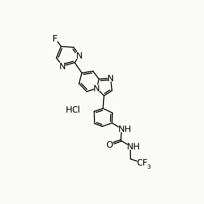 Cl.O=C(NCC(F)(F)F)Nc1cccc(-c2cnc3cc(-c4ncc(F)cn4)ccn23)c1